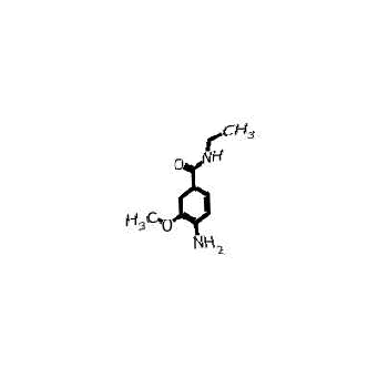 CCNC(=O)C1C=CC(N)=C(OC)C1